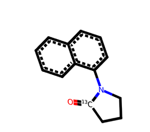 O=[13C]1CCCN1c1cccc2ccccc12